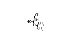 CC(C)OC(O)=[SH]CCl